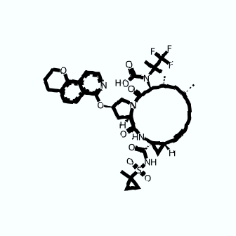 C[C@@H]1CC/C=C\[C@@H]2C[C@@]2(C(=O)NS(=O)(=O)C2(C)CC2)NC(=O)[C@@H]2C[C@@H](Oc3nccc4c5c(ccc34)CCCO5)CN2C(=O)[C@@H](N(C(=O)O)C(C)(C)C(F)(F)F)[C@H](C)C1